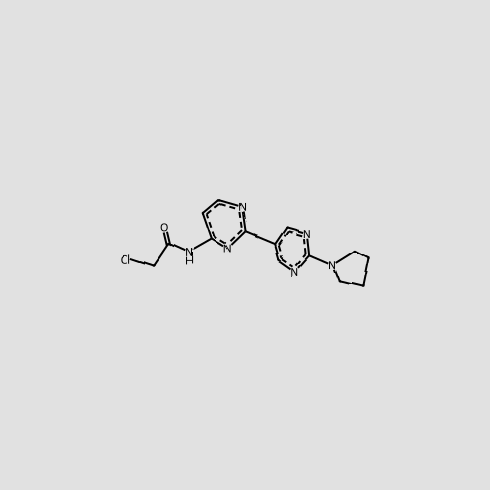 O=C(CCl)Nc1ccnc(-c2cnc(N3CCCC3)nc2)n1